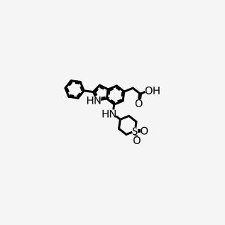 O=C(O)Cc1cc(NC2CCS(=O)(=O)CC2)c2[nH]c(-c3ccccc3)cc2c1